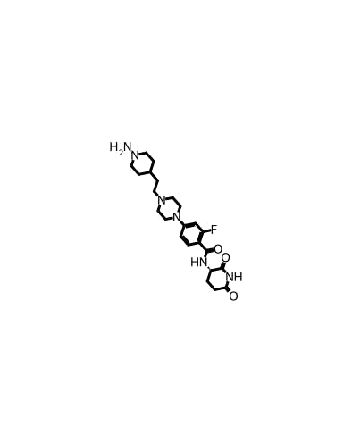 NN1CCC(CCN2CCN(c3ccc(C(=O)N[C@H]4CCC(=O)NC4=O)c(F)c3)CC2)CC1